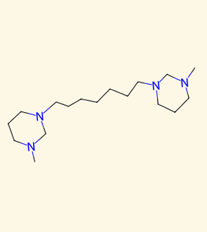 CN1CCCN(CCCCCCCN2CCCN(C)C2)C1